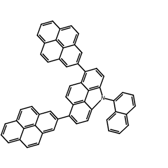 c1ccc2c(-n3c4ccc(-c5cc6ccc7cccc8ccc(c5)c6c78)c5ccc6c(-c7cc8ccc9cccc%10ccc(c7)c8c9%10)ccc3c6c54)cccc2c1